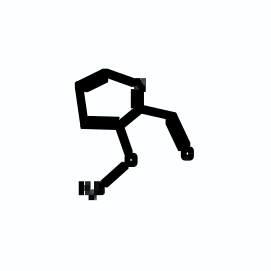 BOc1cccnc1C=O